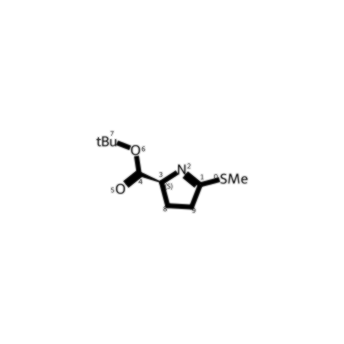 CSC1=N[C@H](C(=O)OC(C)(C)C)CC1